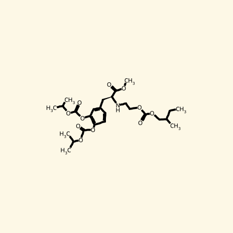 CCC(C)COC(=O)OCCN[C@@H](Cc1ccc(OC(=O)OC(C)C)c(OC(=O)OC(C)C)c1)C(=O)OC